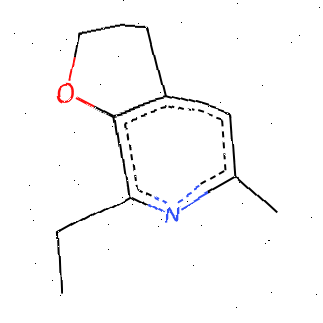 CCc1nc(C)cc2c1OCC2